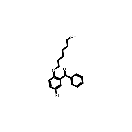 CCc1ccc(OCCCCCCO)c(C(=O)c2ccccc2)c1